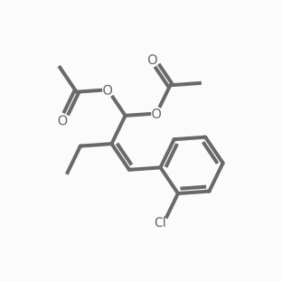 CCC(=Cc1ccccc1Cl)C(OC(C)=O)OC(C)=O